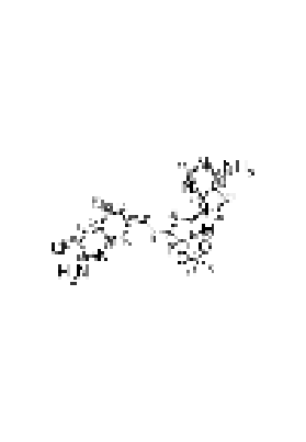 CC1(C)O[C@@H]2[C@H](O1)C(CCc1cc(F)c3cc(Cl)c(N)nc3c1)=C[C@H]2n1ccc2c(N)ncnc21